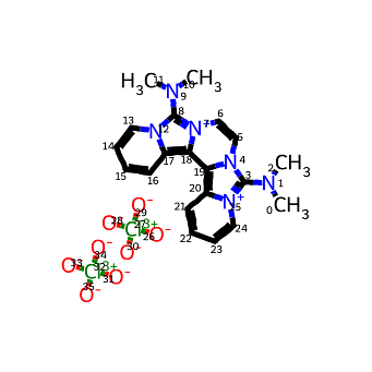 CN(C)c1n2cc[n+]3c(N(C)C)n4ccccc4c3c2c2cccc[n+]12.[O-][Cl+3]([O-])([O-])[O-].[O-][Cl+3]([O-])([O-])[O-]